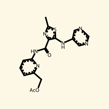 CC(=O)OCc1cccc(NC(=O)c2nc(C)sc2Nc2cncnc2)n1